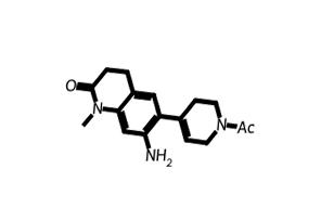 CC(=O)N1CC=C(c2cc3c(cc2N)N(C)C(=O)CC3)CC1